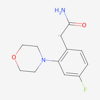 NC(=O)[CH]c1ccc(F)cc1N1CCOCC1